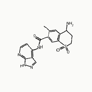 Cc1cc2c(cc1C(=O)Nc1ccnc3[nH]ncc13)S(=O)(=O)CCC2N